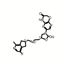 Cc1ncc(F)c2c1C[C@@H](CNCC[C@H]1CN(c3cnc4c(n3)NC(=O)CO4)C(O)O1)C2